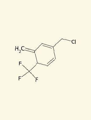 C=C1C=C(CCl)C=CC1C(F)(F)F